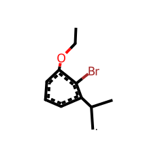 [CH2]C(C)c1cccc(OCC)c1Br